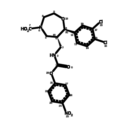 O=C(NC[C@@H]1CN(C(=O)O)CCO[C@H]1c1ccc(Cl)c(Cl)c1)Oc1ccc([N+](=O)[O-])cc1